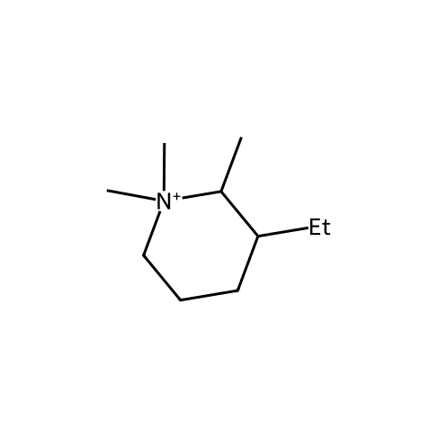 CCC1CCC[N+](C)(C)C1C